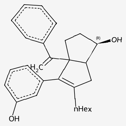 C=C(c1ccccc1)C12CC[C@@H](O)C1CC(CCCCCC)=C2c1cccc(O)c1